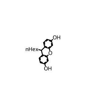 CCCCCCC1c2ccc(O)cc2Oc2cc(O)ccc21